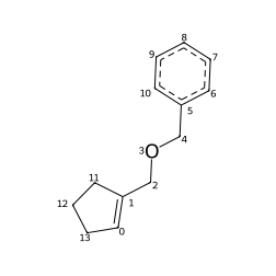 C1=C(COCc2ccccc2)CCC1